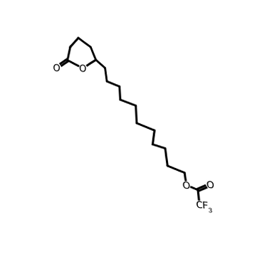 O=C1CCCC(CCCCCCCCCCCOC(=O)C(F)(F)F)O1